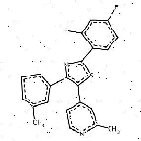 Cc1cccc(-c2nc(-c3ccc(F)cc3F)sc2-c2ccnc(C)c2)c1